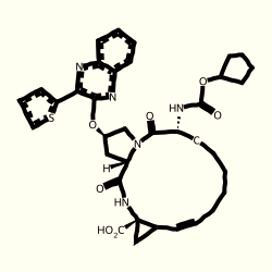 O=C(N[C@@H]1CCCCC/C=C\C2C[C@]2(C(=O)O)NC(=O)[C@@H]2C[C@@H](Oc3nc4ccccc4nc3-c3cccs3)CN2C1=O)OC1CCCC1